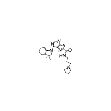 CC1(C)CN(c2ncnc3sc(C(=O)NCCCN4CCCC4)nc23)C2=CCCC=C21